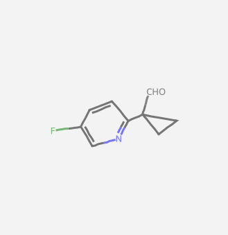 O=CC1(c2ccc(F)cn2)CC1